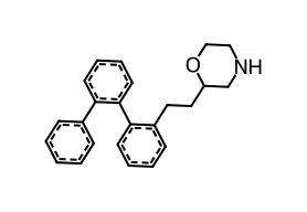 c1ccc(-c2ccccc2-c2ccccc2CCC2CNCCO2)cc1